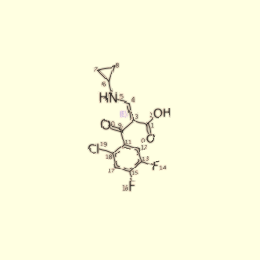 O=C(O)/C(=C/NC1CC1)C(=O)c1cc(F)c(F)cc1Cl